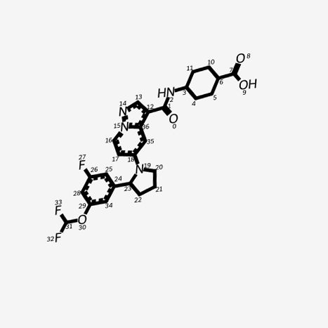 O=C(NC1CCC(C(=O)O)CC1)c1cnn2ccc(N3CCCC3c3cc(F)cc(OC(F)F)c3)cc12